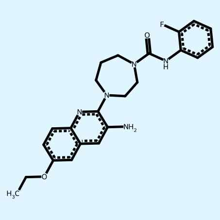 CCOc1ccc2nc(N3CCCN(C(=O)Nc4ccccc4F)CC3)c(N)cc2c1